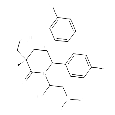 CC(C)C(C[S+]([O-])C(C)C)N1C(=O)[C@](C)(CC(=O)O)C[C@H](c2cccc(Cl)c2)C1c1ccc(Cl)cc1